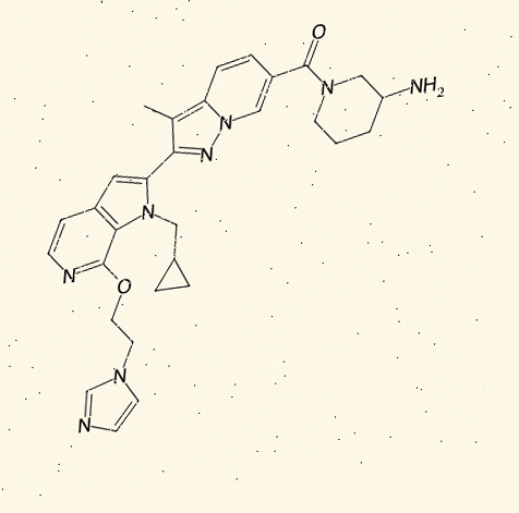 Cc1c(-c2cc3ccnc(OCCn4ccnc4)c3n2CC2CC2)nn2cc(C(=O)N3CCCC(N)C3)ccc12